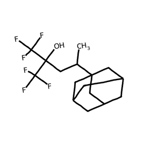 CC(CC(O)(C(F)(F)F)C(F)(F)F)C12CC3CC(CC(C3)C1)C2